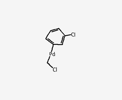 Cl[CH2][Pd][c]1cccc(Cl)c1